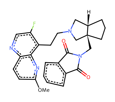 COc1ccc2ncc(F)c(CCN3C[C@@H]4CCC[C@]4(CN4C(=O)c5ccccc5C4=O)C3)c2n1